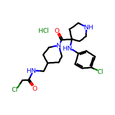 Cl.O=C(CCl)NCC1CCN(C(=O)C2(Nc3ccc(Cl)cc3)CCNCC2)CC1